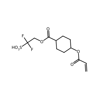 C=CC(=O)OC1CCC(C(=O)OCC(F)(F)S(=O)(=O)O)CC1